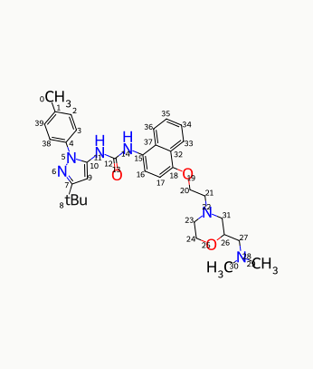 Cc1ccc(-n2nc(C(C)(C)C)cc2NC(=O)Nc2ccc(OCCN3CCOC(CN(C)C)C3)c3ccccc23)cc1